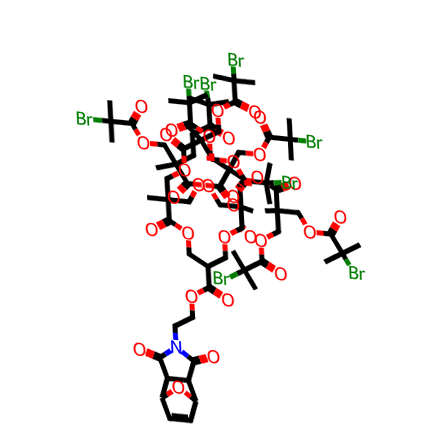 CC(C)(Br)C(=O)CCC(C)(COC(=O)C(C)(C)Br)C(=O)OCC(C)(COC(=O)C(C)(COC(=O)C(C)(C)Br)COC(=O)C(C)(C)Br)C(=O)OCC(COC(=O)C(C)(COC(=O)C(C)(COC(=O)C(C)(C)Br)COC(=O)C(C)(C)Br)COC(=O)C(C)(COC(=O)C(C)(C)Br)COC(=O)C(C)(C)Br)C(=O)OCCN1C(=O)C2C3C=CC(O3)C2C1=O